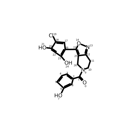 O=C(c1cccc(O)c1)N1CCc2noc(-c3cc(Cl)c(O)cc3O)c2C1